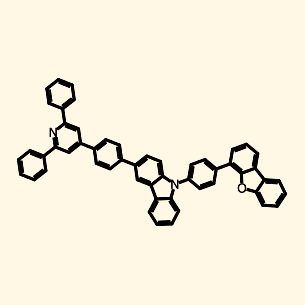 c1ccc(-c2cc(-c3ccc(-c4ccc5c(c4)c4ccccc4n5-c4ccc(-c5cccc6c5oc5ccccc56)cc4)cc3)cc(-c3ccccc3)n2)cc1